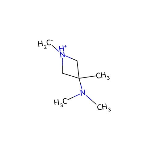 [CH2-][NH+]1CC(C)(N(C)C)C1